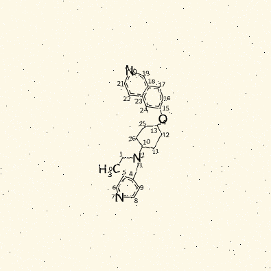 CCN(Cc1ccncc1)C1CCC(Oc2ccc3cnccc3c2)CC1